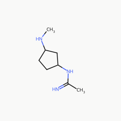 CNC1CCC(NC(C)=N)C1